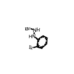 BrNNc1ccccc1Br